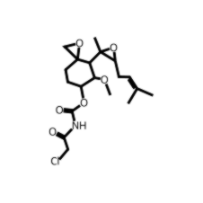 COC1C(OC(=O)NC(=O)CCl)CCC2(CO2)C1C1(C)OC1CC=C(C)C